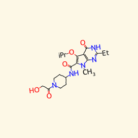 CCc1nc2c(c(OC(C)C)c(C(=O)NC3CCN(C(=O)CO)CC3)n2C)c(=O)[nH]1